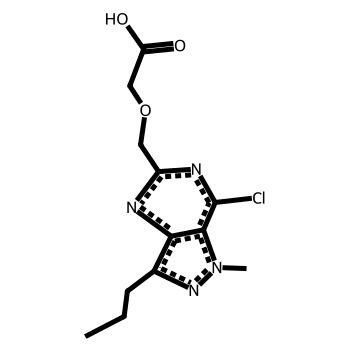 CCCc1nn(C)c2c(Cl)nc(COCC(=O)O)nc12